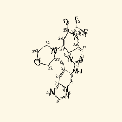 Cc1cc2ncnn2cc1Nc1ncc2c(n1)c(N1CCOCC1)cc(=O)n2C(F)F